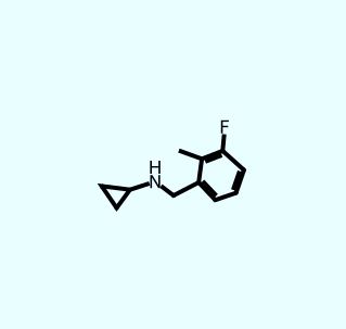 Cc1c(F)cccc1CNC1CC1